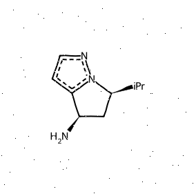 CC(C)[C@H]1C[C@@H](N)c2ccnn21